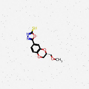 COC[C@@H]1COc2ccc(-c3nnc(S)o3)cc2O1